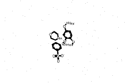 C1COCCN1.CCCCCCOc1ccc(OCCCCCC)c([N+]#N)c1.O=S(=O)([O-])c1ccccc1